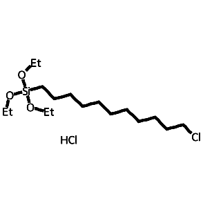 CCO[Si](CCCCCCCCCCCCl)(OCC)OCC.Cl